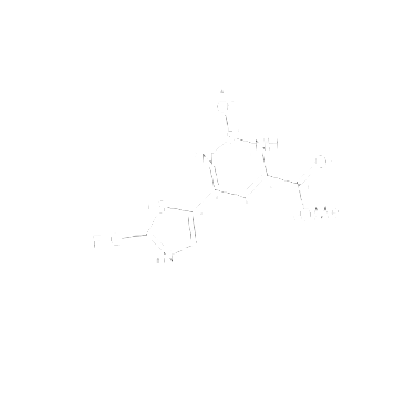 COC(=O)C1=CC(c2cnc(C(F)(F)F)s2)=N[S+]([O-])N1